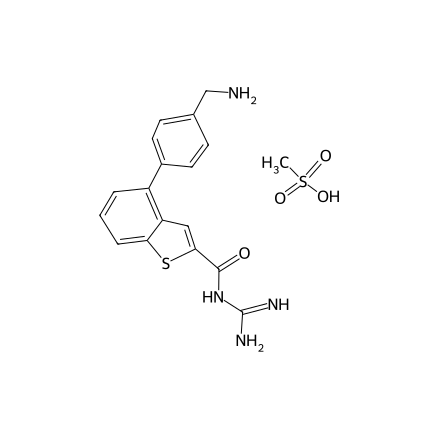 CS(=O)(=O)O.N=C(N)NC(=O)c1cc2c(-c3ccc(CN)cc3)cccc2s1